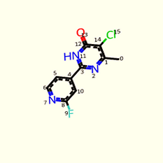 Cc1nc(-c2ccnc(F)c2)[nH]c(=O)c1Cl